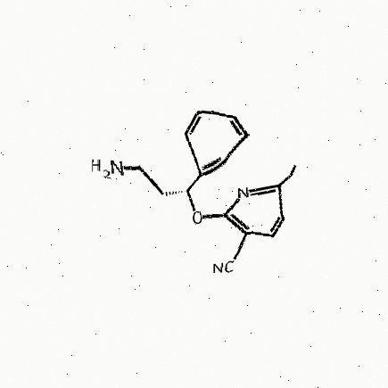 Cc1ccc(C#N)c(O[C@H](CCN)c2ccccc2)n1